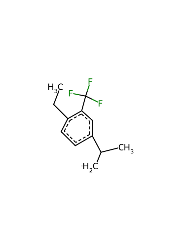 [CH2]C(C)c1ccc(CC)c(C(F)(F)F)c1